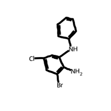 Nc1c(Br)cc(Cl)cc1Nc1ccccc1